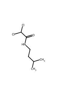 CC(C)CCNC(=O)C(Cl)Cl